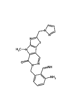 Cn1c2nc(Cn3cccn3)sc2c2cnn(Cc3cccc(N)c3C=N)c(=O)c21